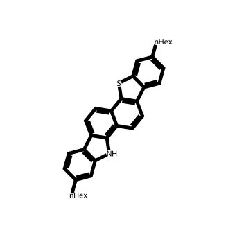 CCCCCCc1ccc2c(c1)[nH]c1c2ccc2c1ccc1c3ccc(CCCCCC)cc3sc12